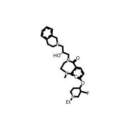 CCN1CCC(Oc2ccc3c(c2)N(C)CCN(C[C@H](O)CN2CCc4ccccc4C2)C3=O)C(F)C1